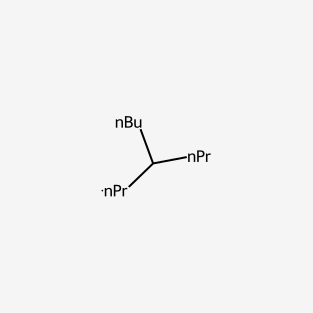 CC[CH]C(CCC)CCCC